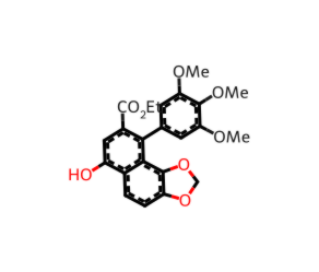 CCOC(=O)c1cc(O)c2ccc3c(c2c1-c1cc(OC)c(OC)c(OC)c1)OCO3